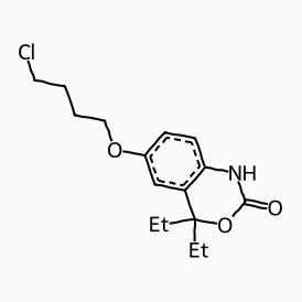 CCC1(CC)OC(=O)Nc2ccc(OCCCCCl)cc21